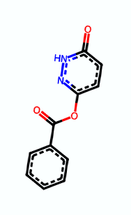 O=C(Oc1ccc(=O)[nH]n1)c1ccccc1